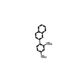 CC(C)(C)c1ccc(-c2[c]c3ccccc3cc2)c(C(C)(C)C)c1